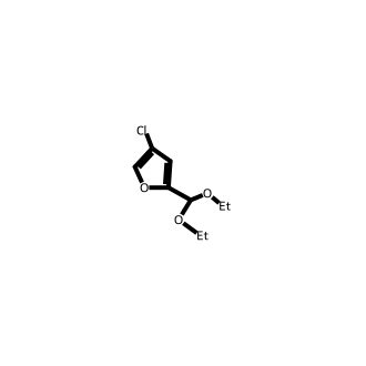 CCOC(OCC)c1cc(Cl)co1